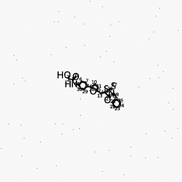 O=C(CO)Nc1ccc(-c2ccc(/C=C3\SC(=S)N(Cc4ccccc4)C3=O)o2)cc1